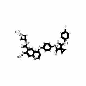 COc1cc2nccc(Oc3ccc(NC(=O)C4(C(=O)Nc5ccc(F)cc5)CC4)cc3)c2cc1C(=O)NC1CN(C)C1